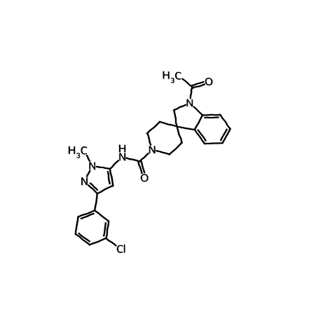 CC(=O)N1CC2(CCN(C(=O)Nc3cc(-c4cccc(Cl)c4)nn3C)CC2)c2ccccc21